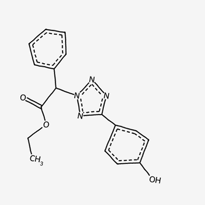 CCOC(=O)C(c1ccccc1)n1nnc(-c2ccc(O)cc2)n1